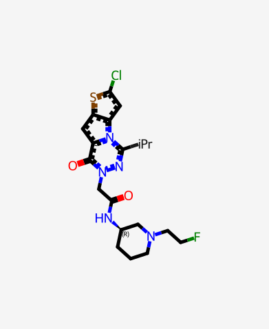 CC(C)c1nn(CC(=O)N[C@@H]2CCCN(CCF)C2)c(=O)c2cc3sc(Cl)cc3n12